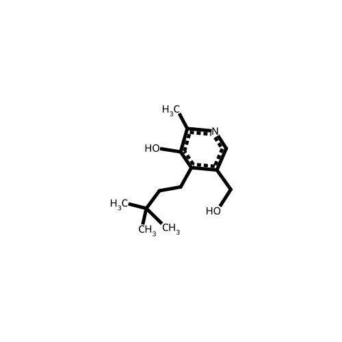 Cc1ncc(CO)c(CCC(C)(C)C)c1O